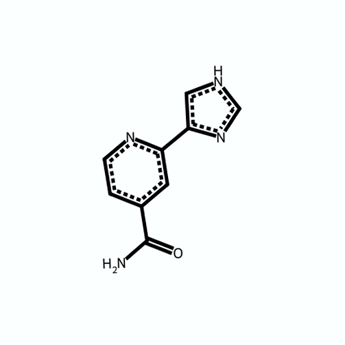 NC(=O)c1ccnc(-c2c[nH]cn2)c1